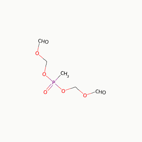 CP(=O)(OCOC=O)OCOC=O